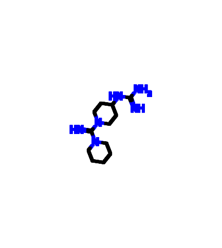 N=C(N)NC1CCN(C(=N)N2CCCCC2)CC1